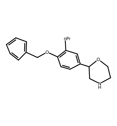 CCCc1cc(C2CNCCO2)ccc1OCc1ccccc1